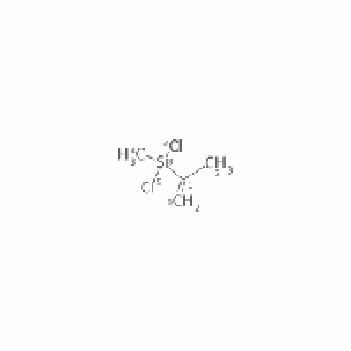 C=C(C)[Si](C)(Cl)Cl